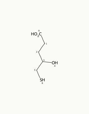 O=C(O)CCC(O)CS